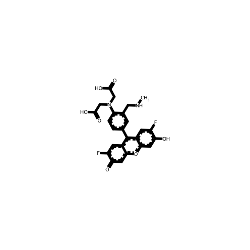 CNCc1cc(-c2c3cc(F)c(=O)cc-3oc3cc(O)c(F)cc23)ccc1N(CC(=O)O)CC(=O)O